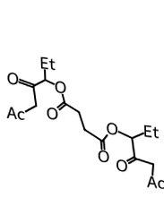 CCC(OC(=O)CCC(=O)OC(CC)C(=O)CC(C)=O)C(=O)CC(C)=O